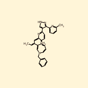 C=c1ccc(-c2c[nH]nc2-c2cccc(C)n2)n/c1=C/C(=C\C)C1=CN(Cc2ccccc2)C=CC=N1